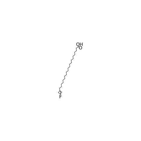 O=C(O)CCCCCCCCCCCCCCCCCCCCCC12CC(F)(C1)C2